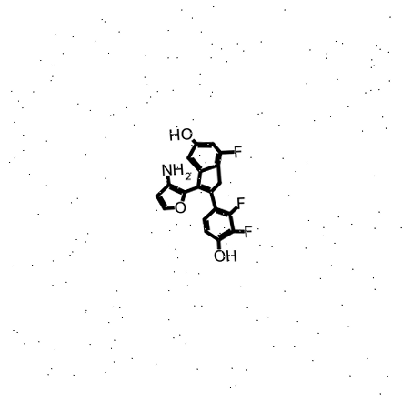 Nc1ccoc1C1=C(c2ccc(O)c(F)c2F)Cc2c(F)cc(O)cc21